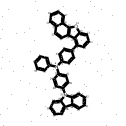 c1ccc(N(c2ccc(-c3cccc4oc5c6ccccc6ccc5c34)cc2)c2ccc(-n3c4ccccc4c4ccccc43)cc2)cc1